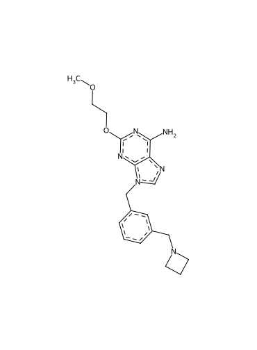 COCCOc1nc(N)c2ncn(Cc3cccc(CN4CCC4)c3)c2n1